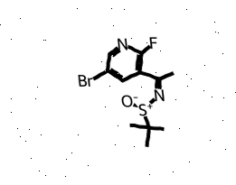 C/C(=N/[S@+]([O-])C(C)(C)C)c1cc(Br)cnc1F